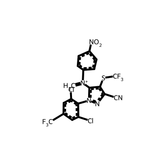 C=[N+](c1ccc([N+](=O)[O-])cc1)c1c(SC(F)(F)F)c(C#N)nn1-c1c(Cl)cc(C(F)(F)F)cc1Cl